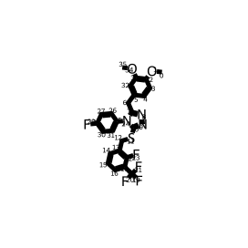 COc1ccc(Cc2nnc(SCc3cccc(C(F)(F)F)c3F)n2-c2ccc(F)cc2)cc1OC